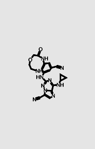 N#Cc1cc2c(c(Nc3nc(NC4CC4)c4ncc(C#N)n4n3)c1)NCCOCC(=O)N2